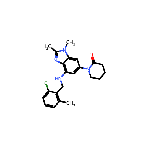 Cc1cccc(Cl)c1CNc1cc(N2CCCCC2=O)cc2c1nc(C)n2C